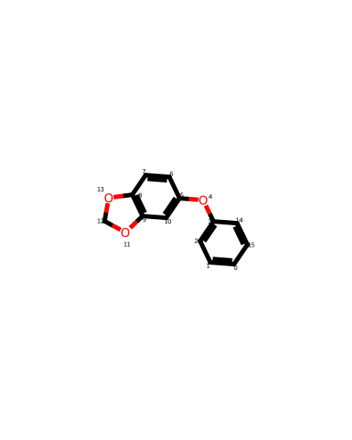 c1ccc(Oc2ccc3c(c2)OCO3)cc1